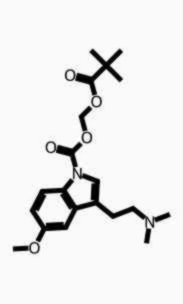 COc1ccc2c(c1)c(CCN(C)C)cn2C(=O)OCOC(=O)C(C)(C)C